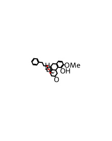 COc1ccc2c(c1O)[C@]13CCN(C)[C@H](C2)C1(OCCCc1ccccc1)CCC(=O)C3